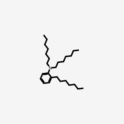 CCCCCCCc1ccccc1N(CCCCCCC)CCCCCCC